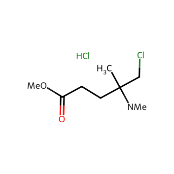 CNC(C)(CCl)CCC(=O)OC.Cl